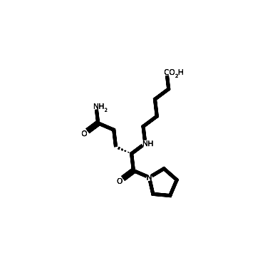 NC(=O)CC[C@H](NCCCCC(=O)O)C(=O)N1CCCC1